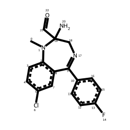 CN1c2ccc(Cl)cc2C(c2ccc(F)cc2)=NCC1(N)C=O